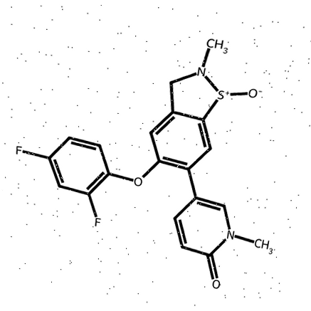 CN1Cc2cc(Oc3ccc(F)cc3F)c(-c3ccc(=O)n(C)c3)cc2[S+]1[O-]